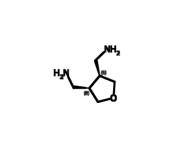 NC[C@@H]1COC[C@@H]1CN